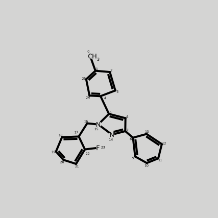 Cc1ccc(-c2cc(-c3ccccc3)nn2Cc2ccccc2F)cc1